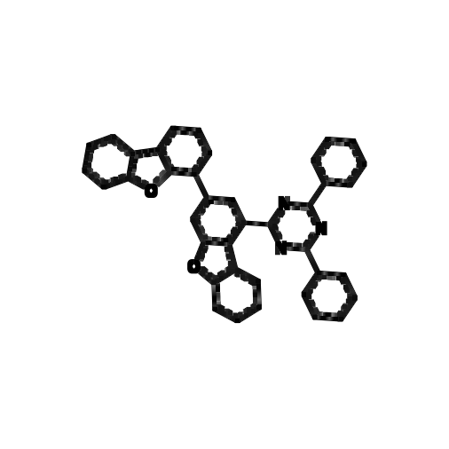 c1ccc(-c2nc(-c3ccccc3)nc(-c3cc(-c4cccc5c4oc4ccccc45)cc4oc5ccccc5c34)n2)cc1